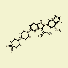 Cc1cc(-c2[nH]c3ccc(C4CCN(C5CCS(=O)(=O)CC5)CC4)cc3c2C(C)C)cn2ccnc12